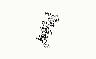 CC1=C2C[C@H]3[C@@H](CC=C4C[C@@H](O)CC[C@@]43C)[C@@H]2CC[C@]12O[C@@H]1C[C@H](C)CN(Cc3cn([C@@H]4O[C@H](CO)C(O)[C@@H]4O)nn3)[C@H]1[C@H]2C